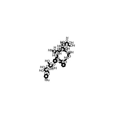 CC(c1ccccc1)C1NC(=O)CNC(=O)C(CO)NC(=O)C(C(O)C2CNC(=N)N2C2OC(CO)C(O)C(O)C2O)NC(=O)C(C(O)C2CNC(=N)N2)NC(=O)C(Cc2ccc(OC3OC(CO)C(OC4OC5COC6(CCC(C(C)(C)C)CC6)OC5C(O)C4O)C(O)C3O)cc2)NC1=O